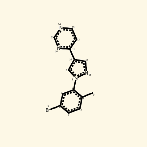 Cc1ccc(Br)cc1-n1cc(-c2ccncn2)cn1